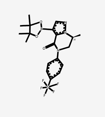 C[C@H]1CN(c2ccc(S(F)(F)(F)(F)F)cc2)C(=O)c2c(B3OC(C)(C)C(C)(C)O3)cnn21